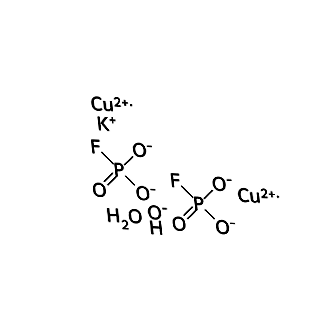 O.O=P([O-])([O-])F.O=P([O-])([O-])F.[Cu+2].[Cu+2].[K+].[OH-]